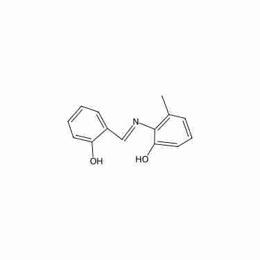 Cc1cccc(O)c1/N=C/c1ccccc1O